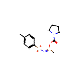 Cc1ccc(S(=O)(=O)/N=S(/C)OC(=O)N2CCCC2)cc1